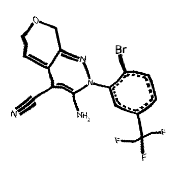 N#CC1=C(N)N(c2cc(C(F)(F)F)ccc2Br)N=C2COCC=C21